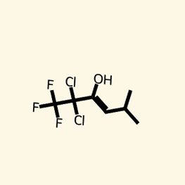 CC(C)C=C(O)C(Cl)(Cl)C(F)(F)F